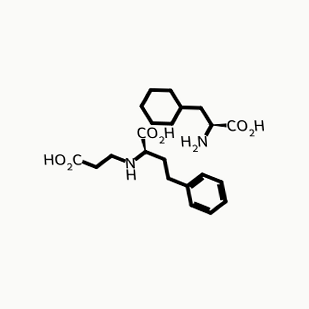 N[C@@H](CC1CCCCC1)C(=O)O.O=C(O)CCN[C@H](CCc1ccccc1)C(=O)O